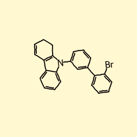 Brc1ccccc1-c1cccc(-n2c3c(c4ccccc42)C=CCC3)c1